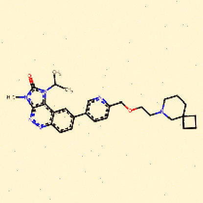 CC(C)n1c(=O)n(C)c2nnc3ccc(-c4ccc(COCCN5CCCC6(CCC6)C5)nc4)cc3c21